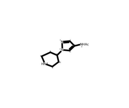 CC(=O)Nc1cnn(C2CCNCC2)c1